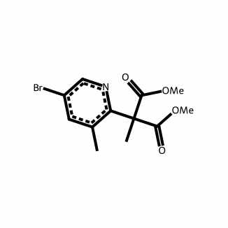 COC(=O)C(C)(C(=O)OC)c1ncc(Br)cc1C